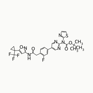 CC(C)(C)OC(=O)N(c1ncc(-c2ccc(CC(=O)Nc3cc(C4(C(F)(F)F)CC4)on3)c(F)c2)cn1)c1nccs1